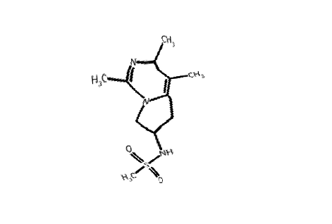 CC1=NC(C)C(C)=C2CC(NS(C)(=O)=O)CN12